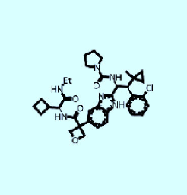 CCNC(=O)[C@H](NC(=O)C1(c2ccc3[nH]c([C@@H](NC(=O)N4CCCC4)[C@H](c4ccccc4Cl)C4(C)CC4)nc3c2)COC1)C1CCC1